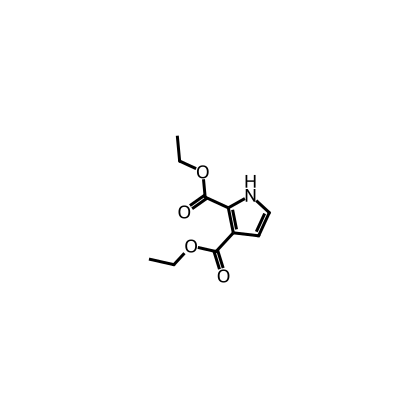 CCOC(=O)c1cc[nH]c1C(=O)OCC